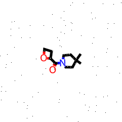 CC1(C)CCN(C(=O)C2CCO2)CC1